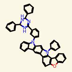 c1ccc(C2N=C(c3cccc(-n4c5ccccc5c5cc6c7ccc8oc9ccccc9c8c7n(-c7ccccc7)c6cc54)c3)NC(c3ccccc3)N2)cc1